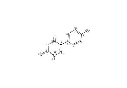 O=C1CNC(c2ccc(Br)cc2)=NN1